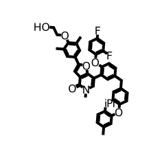 Cc1ccc(C(C)C)c(Oc2ccc(Cc3ccc(Oc4ccc(F)cc4F)c(-c4cn(C)c(=O)c5cc(-c6cc(C)c(OCCO)c(C)c6)oc45)c3)cc2)c1